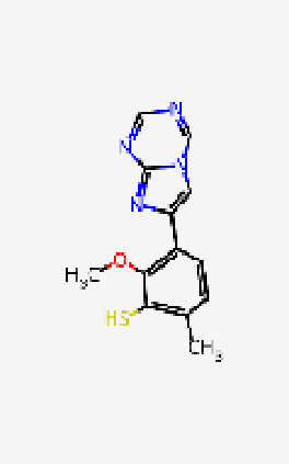 COc1c(-c2cn3cncnc3n2)ccc(C)c1S